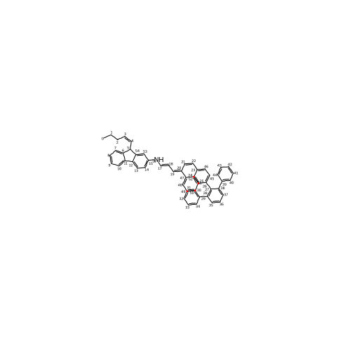 CCC/C=C\C1c2ccccc2-c2ccc(N/C=C/C=C(\C=C/c3ccc(-c4c(-c5ccccc5)cccc4-c4ccccc4)cc3)c3ccccc3)cc21